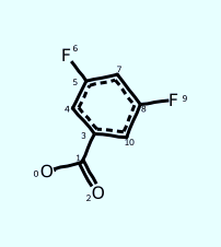 [O]C(=O)c1cc(F)cc(F)c1